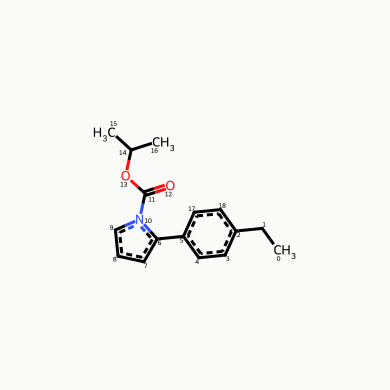 CCc1ccc(-c2cccn2C(=O)OC(C)C)cc1